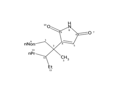 CCCCCCCCCCC(C)(C1=CC(=O)NC1=O)C(CC)CCC